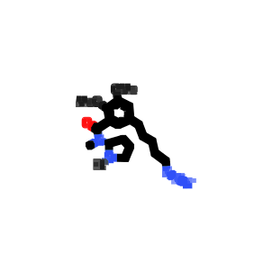 CCN1CCC[C@@H]1N(C)C(=O)c1cc(CCCCCN=[N+]=[N-])cc(OC)c1OC